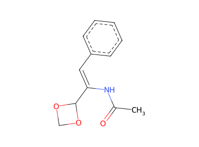 CC(=O)N/C(=C\c1ccccc1)C1OCO1